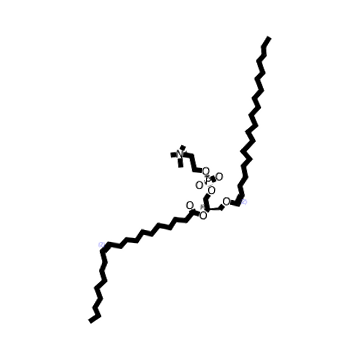 CCCCCCCC/C=C\CCCCCCCCCC(=O)O[C@H](CO/C=C\CCCCCCCCCCCCCCCCCC)COP(=O)([O-])OCC[N+](C)(C)C